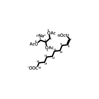 CC(=O)OCC(COC(C)=O)OC(C)=O.CCCCCCCC/C=C\CCCCCCCC(=O)[O-].[Na+]